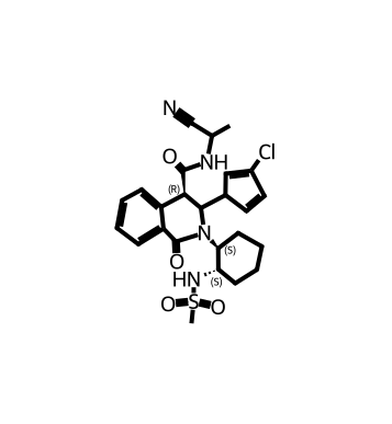 CC(C#N)NC(=O)[C@@H]1c2ccccc2C(=O)N([C@H]2CCCC[C@@H]2NS(C)(=O)=O)C1C1C=CC(Cl)=C1